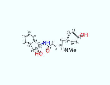 CN[C@H](CCC(=O)N[C@@H]1c2ccccc2C[C@@H]1O)Cc1ccc(O)cc1